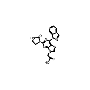 O=C(O)Cn1cnc2c(-n3ncc4ccccc43)nc(N3CCNC3=O)nc21